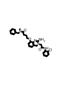 CN(Cc1ccccc1)C(=O)CCCOc1cccc2c1N=C(N)N(CC(=O)Nc1ccccc1Cl)C2